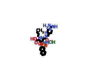 CCCCNC(C(=O)O)C(=O)C(CC(=O)NCC1CCN(C(=N)N)CC1)NS(=O)(=O)c1ccc2ccccc2c1.Cl